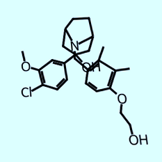 COc1cc(C2(O)CC3CCC(C2)N3Cc2ccc(OCCO)c(C)c2C)ccc1Cl